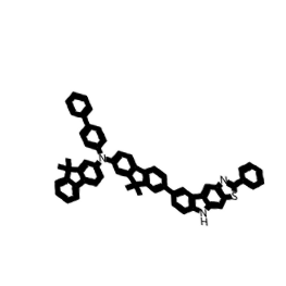 CC1(C)c2ccccc2-c2ccc(N(c3ccc(-c4ccccc4)cc3)c3ccc4c(c3)C(C)(C)c3cc(-c5ccc6[nH]c7cc8sc(-c9ccccc9)nc8cc7c6c5)ccc3-4)cc21